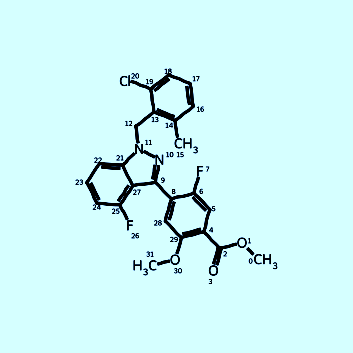 COC(=O)c1cc(F)c(-c2nn(Cc3c(C)cccc3Cl)c3cccc(F)c23)cc1OC